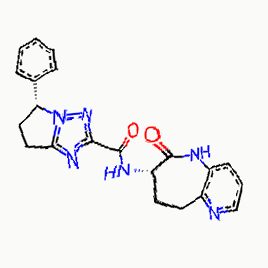 O=C(N[C@H]1CCc2ncccc2NC1=O)c1nc2n(n1)[C@@H](c1ccccc1)CC2